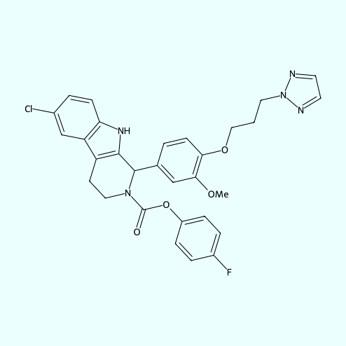 COc1cc(C2c3[nH]c4ccc(Cl)cc4c3CCN2C(=O)Oc2ccc(F)cc2)ccc1OCCCn1nccn1